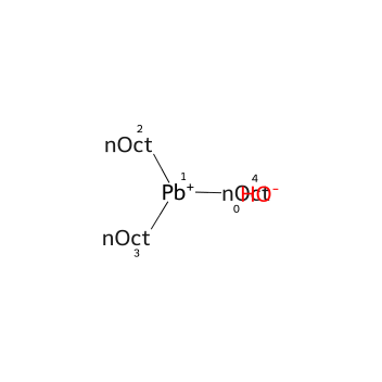 CCCCCCC[CH2][Pb+]([CH2]CCCCCCC)[CH2]CCCCCCC.[OH-]